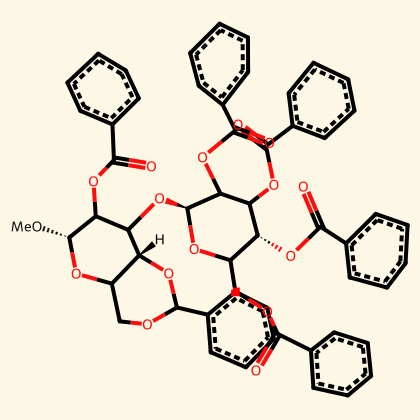 CO[C@H]1OC2COC(c3ccccc3)O[C@H]2C(O[C@@H]2OC(COC(=O)c3ccccc3)[C@@H](OC(=O)c3ccccc3)C(OC(=O)c3ccccc3)C2OC(=O)c2ccccc2)C1OC(=O)c1ccccc1